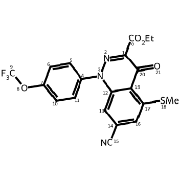 CCOC(=O)c1nn(-c2ccc(OC(F)(F)F)cc2)c2cc(C#N)cc(SC)c2c1=O